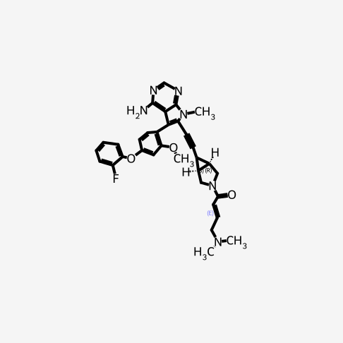 COc1cc(Oc2ccccc2F)ccc1-c1c(C#CC2[C@H]3CN(C(=O)/C=C/CN(C)C)C[C@@H]23)n(C)c2ncnc(N)c12